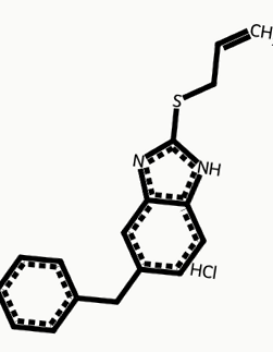 C=CCSc1nc2cc(Cc3ccccc3)ccc2[nH]1.Cl